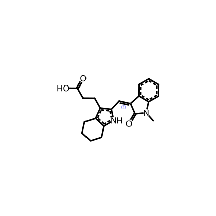 CN1C(=O)/C(=C\c2[nH]c3c(c2CCC(=O)O)CCCC3)c2ccccc21